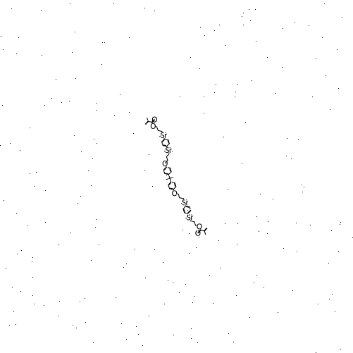 C=C(C)C(=O)OCCC[Si](C)(C)c1ccc([Si](C)(C)CCCOc2ccc(C(C)(C)c3ccc(OCCC[Si](C)(C)c4ccc([Si](C)(C)CCCOC(=O)C(=C)C)cc4)cc3)cc2)cc1